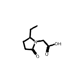 CCC1CCC(=O)N1CC(=O)O